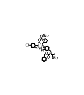 CC(N(Cc1ccc2c(c1)nc(NC(=O)c1ccc(Cl)cc1)n2CC1CCCN1C(=O)OC(C)(C)C)C(=O)OCc1ccccc1)C(C)(C)C